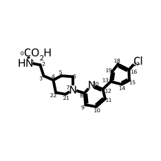 O=C(O)NCCC1CCN(c2cccc(-c3ccc(Cl)cc3)n2)CC1